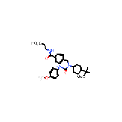 COC(C)(C)C1CCC(N(Cc2ccc(C(=O)NCCC(=O)O)cc2)C(=O)Nc2ccc(OC(F)(F)F)cc2)CC1